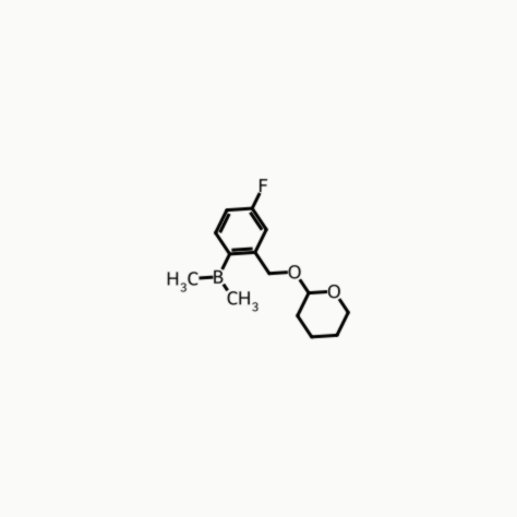 CB(C)c1ccc(F)cc1COC1CCCCO1